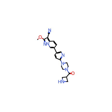 COc1nn2cc(-c3ccc(N4CCN(C(=O)C5CNC5)CC4)nc3)ccc2c1C#N